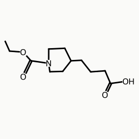 CCOC(=O)N1CCC(CCCC(=O)O)CC1